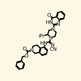 CC(C)C1CN(c2nc3ccccc3c(=O)[nH]2)CCN1C(=NC#N)Nc1cccc2c1CCN(C(=O)OCc1ccccc1)C2